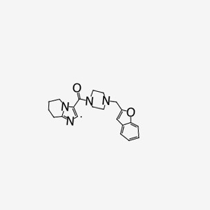 O=C(c1[c]nc2n1CCCC2)N1CCN(Cc2cc3ccccc3o2)CC1